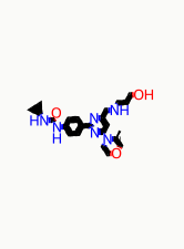 C[C@H]1COCCN1c1cc(CNCCCO)nc(-c2ccc(NC(=O)NC3CC3)cc2)n1